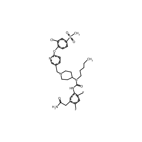 CCCCCN(C(=O)Nc1cc(CC(N)=O)c(F)cc1F)C1CCN(Cc2ccc(Oc3ccc(S(C)(=O)=O)cc3Cl)nc2)CC1